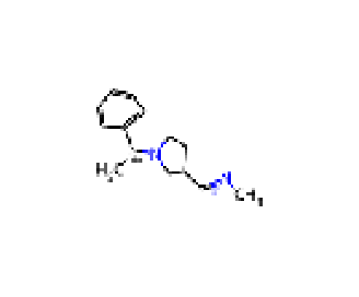 C/N=C/C1CCN([C@H](C)c2ccccc2)C1